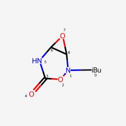 CCC(C)N1OC(=O)NC2OC21